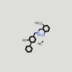 CC#N.N#Cc1cc(CNCc2c(N)cccc2C(=O)O)ccc1-c1ccccc1